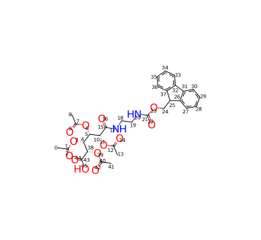 CC(=O)O[C@H]([C@H](OC(C)=O)[C@@H](OC(C)=O)C(=O)NCCNC(=O)OCC1c2ccccc2-c2ccccc21)[C@H](OC(C)=O)C(=O)O